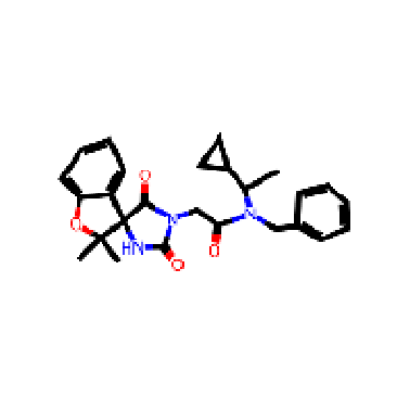 CC(C1CC1)N(Cc1ccccc1)C(=O)CN1C(=O)NC2(C1=O)c1ccccc1OC2(C)C